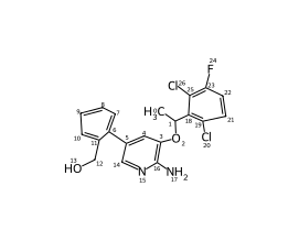 CC(Oc1cc(-c2ccccc2CO)cnc1N)c1c(Cl)ccc(F)c1Cl